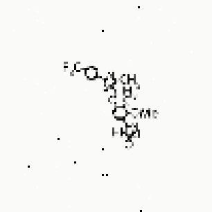 COC1C(c2noc(=O)[nH]2)=CC=C(OCc2sc(-c3ccc(C(F)(F)F)cc3)nc2C)C1C